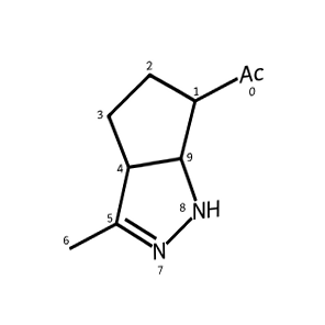 CC(=O)C1CCC2C(C)=NNC12